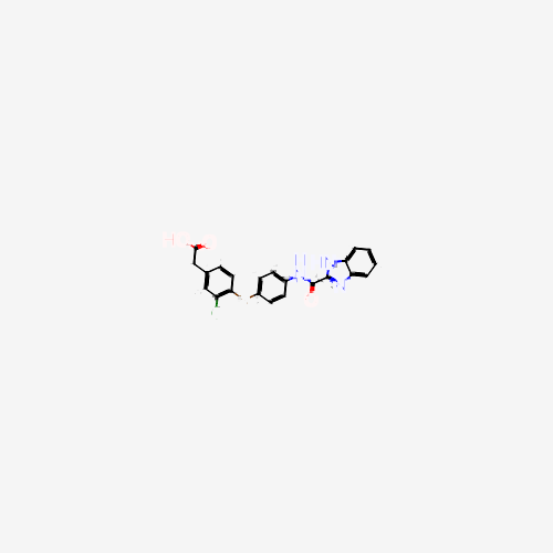 O=C(O)Cc1ccc(Sc2ccc(NC(=O)c3nc4ccccc4[nH]3)cc2)c(Cl)c1